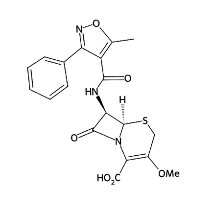 COC1=C(C(=O)O)N2C(=O)[C@@H](NC(=O)c3c(-c4ccccc4)noc3C)[C@H]2SC1